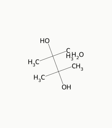 CC(C)(O)C(C)(C)O.O